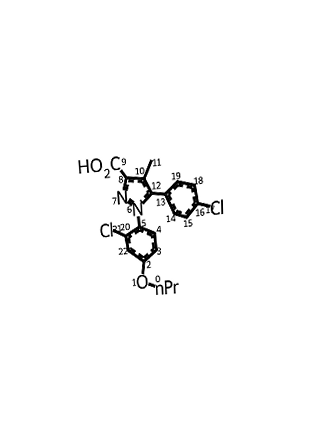 CCCOc1ccc(-n2nc(C(=O)O)c(C)c2-c2ccc(Cl)cc2)c(Cl)c1